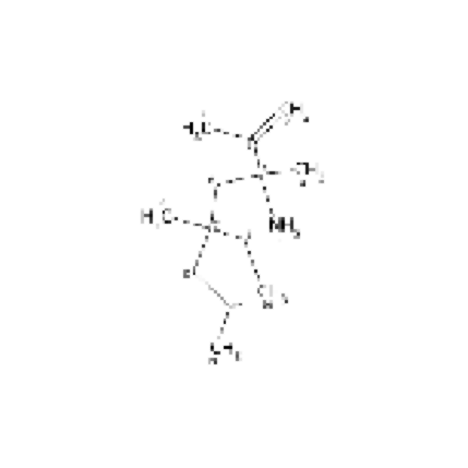 C=C(C)C(C)(N)CC(C)(CC)CCC